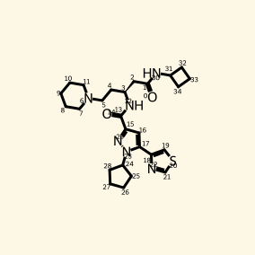 O=C(C[C@H](CCN1CCCCC1)NC(=O)c1cc(-c2cscn2)n(C2CCCC2)n1)NC1CCC1